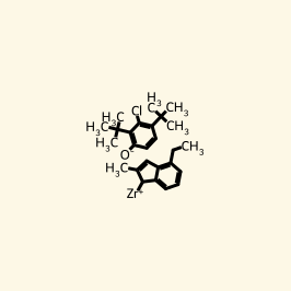 CC(C)(C)c1ccc([O-])c(C(C)(C)C)c1Cl.CCc1cccc2c1C=C(C)[CH]2[Zr+]